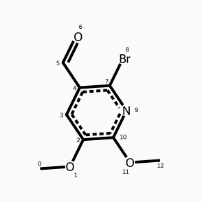 COc1cc(C=O)c(Br)nc1OC